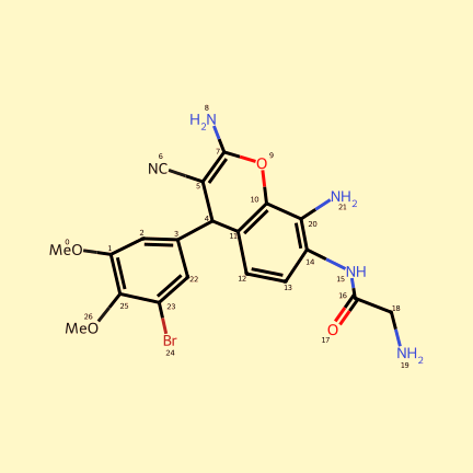 COc1cc(C2C(C#N)=C(N)Oc3c2ccc(NC(=O)CN)c3N)cc(Br)c1OC